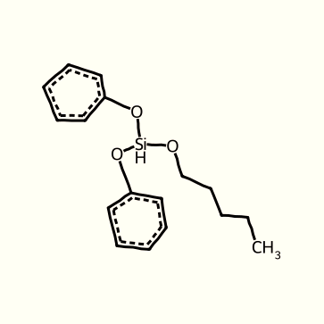 CCCCCO[SiH](Oc1ccccc1)Oc1ccccc1